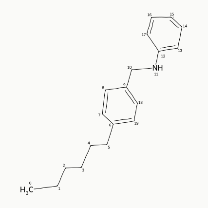 CCCCCCc1ccc(CNc2cc[c]cc2)cc1